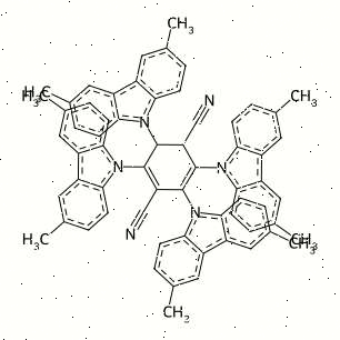 Cc1ccc2c(c1)c1cc(C)ccc1n2C1=C(n2c3ccc(C)cc3c3cc(C)ccc32)C(C#N)C(n2c3ccc(C)cc3c3cc(C)ccc32)C(n2c3ccc(C)cc3c3cc(C)ccc32)=C1C#N